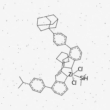 CC1=Cc2c(-c3ccc(C45CC6CC(CC(C6)C4)C5)cc3)cccc2[CH]1[Zr]([Cl])([Cl])([CH]1C(C2CCCC2)=Cc2c(-c3ccc(C(C)C)cc3)cccc21)[SiH](C)C